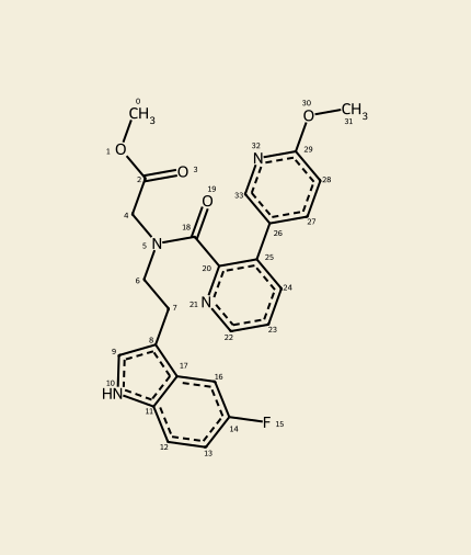 COC(=O)CN(CCc1c[nH]c2ccc(F)cc12)C(=O)c1ncccc1-c1ccc(OC)nc1